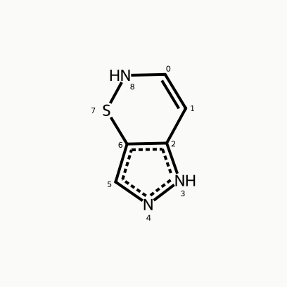 C1=Cc2[nH]ncc2SN1